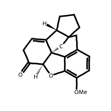 COc1ccc2c3c1O[C@H]1C(=O)CC=C4[C@@H]5CCCC5(C2)C[C@]431